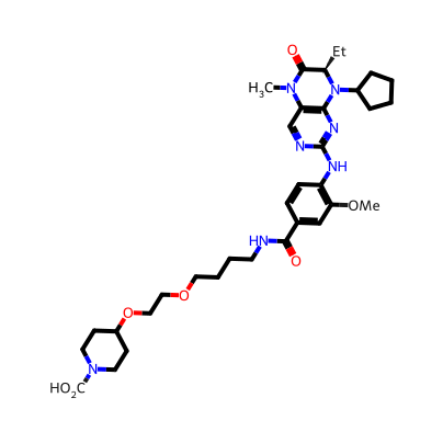 CC[C@@H]1C(=O)N(C)c2cnc(Nc3ccc(C(=O)NCCCCOCCOC4CCN(C(=O)O)CC4)cc3OC)nc2N1C1CCCC1